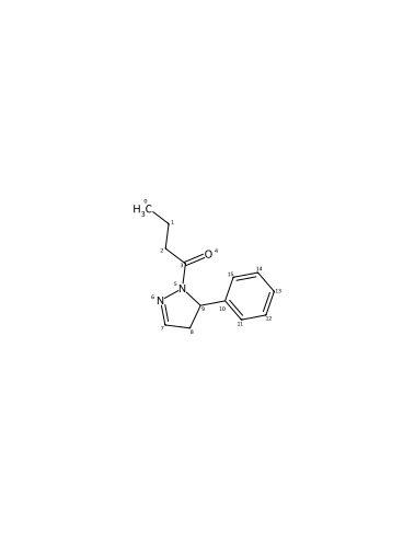 CCCC(=O)N1N=CCC1c1ccccc1